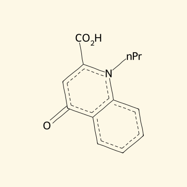 CCCn1c(C(=O)O)cc(=O)c2ccccc21